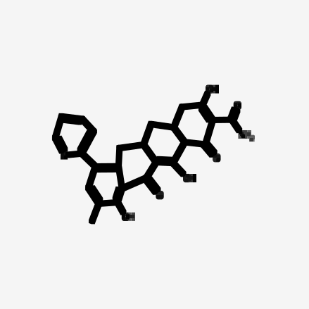 Cc1cc(-c2ccccn2)c2c(c1O)C(=O)C1=C(O)C3C(=O)C(C(N)=O)=C(O)CC3CC1C2